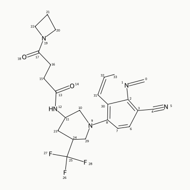 C=Nc1c(C#N)ccc(N2CC(NC(=O)CCC(=O)N3CCC3)CC(C(F)(F)F)C2)c1/C=C\C